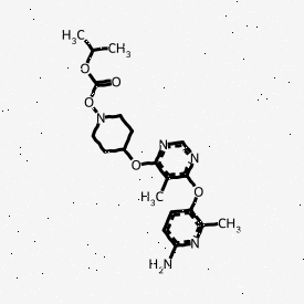 Cc1nc(N)ccc1Oc1ncnc(OC2CCN(OC(=O)OC(C)C)CC2)c1C